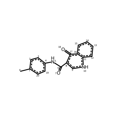 Cc1ccc(NC(=O)c2c[nH]c3ccccc3c2=O)cc1